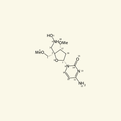 COC[C@@]1(CNO)O[C@@H](n2ccc(N)nc2=O)C[C@H]1OC